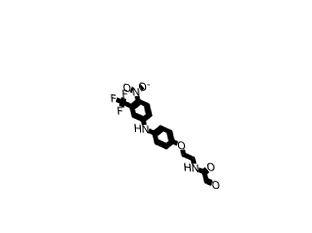 O=CC(=O)NCCOc1ccc(Nc2ccc([N+](=O)[O-])c(C(F)(F)F)c2)cc1